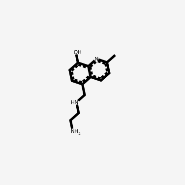 Cc1ccc2c(CNCCN)ccc(O)c2n1